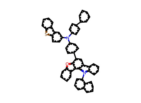 c1ccc(-c2ccc(N(c3ccc(-c4cc5c6ccccc6n(-c6cccc7ccccc67)c5c5c4oc4ccccc45)cc3)c3ccc4sc5ccccc5c4c3)cc2)cc1